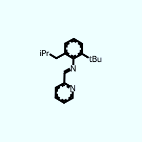 CC(C)Cc1cccc(C(C)(C)C)c1N=Cc1ccccn1